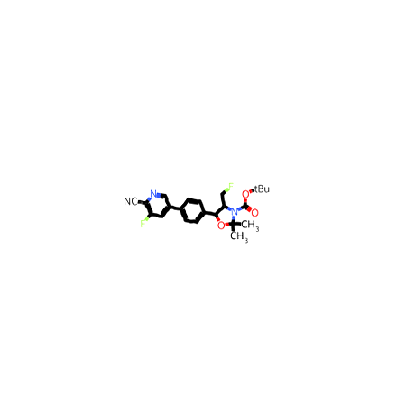 CC(C)(C)OC(=O)N1C(CF)C(c2ccc(-c3cnc(C#N)c(F)c3)cc2)OC1(C)C